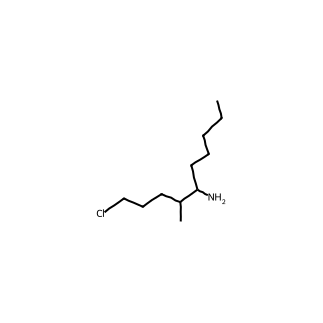 CCCCCC(N)C(C)CCCCl